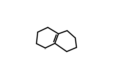 [C]1CCCC2=C1CCCC2